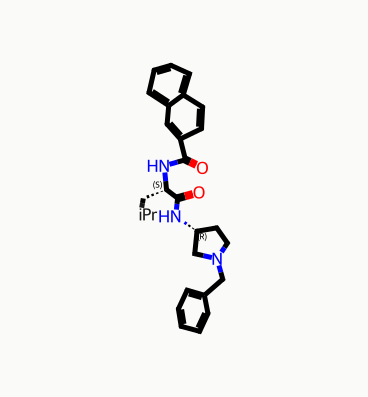 CC(C)C[C@H](NC(=O)c1ccc2ccccc2c1)C(=O)N[C@@H]1CCN(Cc2ccccc2)C1